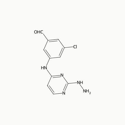 NNc1nccc(Nc2cc(Cl)cc(C=O)c2)n1